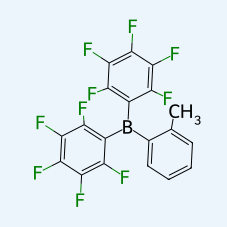 Cc1ccccc1B(c1c(F)c(F)c(F)c(F)c1F)c1c(F)c(F)c(F)c(F)c1F